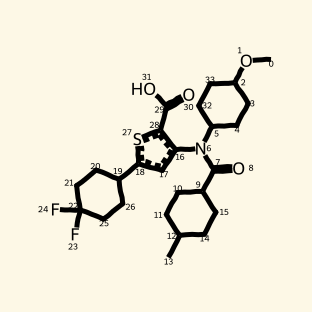 COC1CCC(N(C(=O)C2CCC(C)CC2)c2cc(C3CCC(F)(F)CC3)sc2C(=O)O)CC1